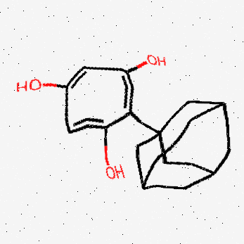 Oc1cc(O)c(C23CC4CC(CC(C4)C2)C3)c(O)c1